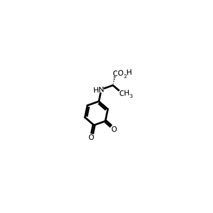 C[C@H](NC1=CC(=O)C(=O)C=C1)C(=O)O